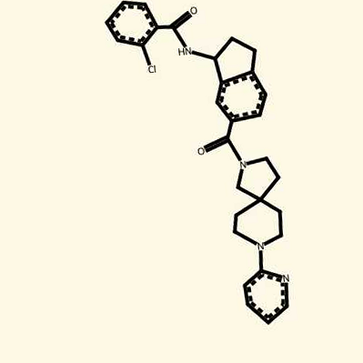 O=C(NC1CCc2ccc(C(=O)N3CCC4(CCN(c5ccccn5)CC4)C3)cc21)c1ccccc1Cl